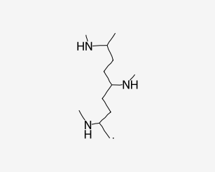 [CH2]C(CCC(CCC(C)NC)NC)NC